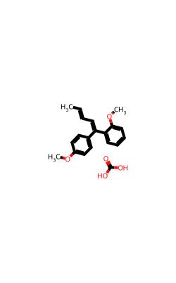 C/C=C/C=C(\c1ccc(OC)cc1)c1ccccc1OC.O=C(O)O